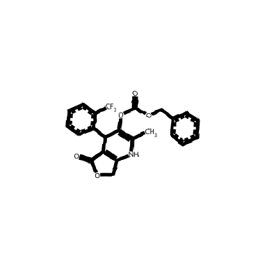 CC1=C(OC(=O)OCc2ccccc2)C(c2ccccc2C(F)(F)F)C2=C(COC2=O)N1